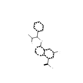 CC(N)C(Nc1ncnc2c(C(N)=O)cc(O)cc12)c1ccccc1